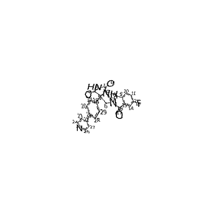 O=C1NC(=O)C(CN2Cc3ccc(F)cc3C2=O)(c2ccc(-c3ccncc3)cc2)N1